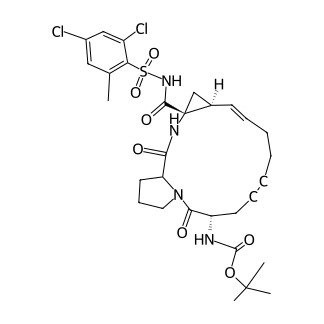 Cc1cc(Cl)cc(Cl)c1S(=O)(=O)NC(=O)[C@@]12C[C@H]1/C=C\CCCCC[C@H](NC(=O)OC(C)(C)C)C(=O)N1CCCC1C(=O)N2